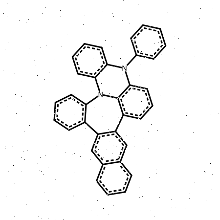 c1ccc(N2c3ccccc3N3c4ccccc4-c4cc5ccccc5cc4-c4cccc2c43)cc1